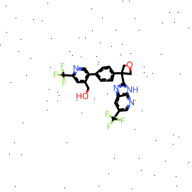 OCc1cc(C(F)(F)F)ncc1-c1ccc(C2(c3nc4cc(C(F)(F)F)cnc4[nH]3)COC2)cc1